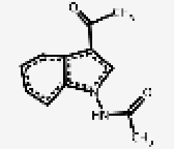 CC(=O)Nn1cc(C(C)=O)c2ccccc21